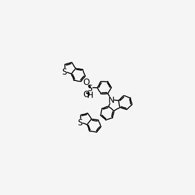 O=[SH](=O)c1cccc(-n2c3ccccc3c3ccccc32)c1.c1ccc2sccc2c1.c1ccc2sccc2c1